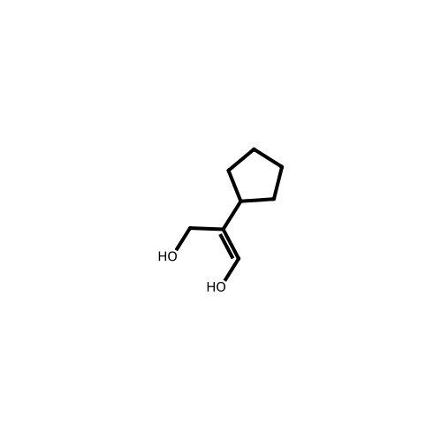 OC=C(CO)C1CCCC1